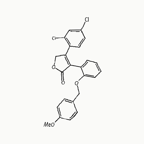 COc1ccc(COc2ccccc2C2=C(c3ccc(Cl)cc3Cl)COC2=O)cc1